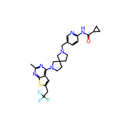 Cc1nc(N2CCC3(CCN(Cc4ccc(NC(=O)C5CC5)nc4)C3)C2)c2cc(CC(F)(F)F)sc2n1